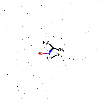 CC(C)=NO.C[SiH3]